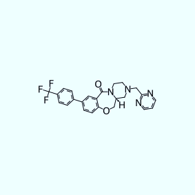 O=C1c2cc(-c3ccc(C(F)(F)F)cc3)ccc2OC[C@H]2CN(Cc3ncccn3)CCN12